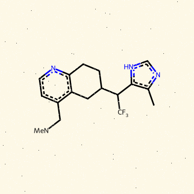 CNCc1ccnc2c1CC(C(c1[nH]cnc1C)C(F)(F)F)CC2